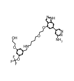 Nc1cc(-c2cc(OCCOCCCCNCc3cc(OCCO)cc(OC(F)(F)F)c3)c3cn[nH]c3c2)cnn1